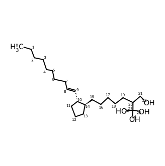 CCCCCCCC/C=C/[C@H]1CCC[C@@H]1CCCCCC(CO)C(O)(O)O